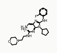 C=C(/N=C1\C(=C/N)N=C(Nc2ccccc2F)N1C1CCCC1)NCCN1CCOCC1